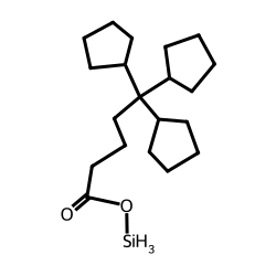 O=C(CCCC(C1CCCC1)(C1CCCC1)C1CCCC1)O[SiH3]